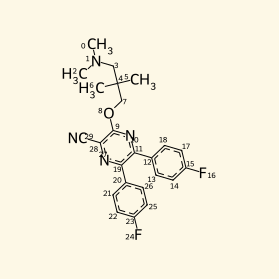 CN(C)CC(C)(C)COc1nc(-c2ccc(F)cc2)c(-c2ccc(F)cc2)nc1C#N